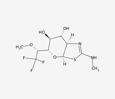 CNC1=N[C@@H]2[C@@H](O)[C@H](O)[C@@H]([C@@H](OC)C(F)(F)F)O[C@@H]2S1